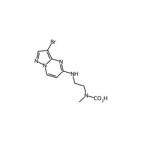 CN(CCNc1ccn2ncc(Br)c2n1)C(=O)O